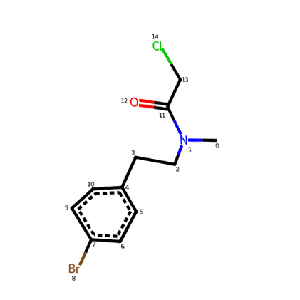 CN(CCc1ccc(Br)cc1)C(=O)CCl